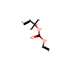 C=COC(=O)OC(C)(C)C=C